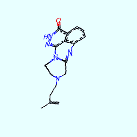 C=C(C)CCN1CCN2C(=Nc3cccc4c(=O)[nH]nc2c34)C1